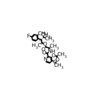 COc1ccnc(C(=O)N[C@@H](C)C(=O)O[C@@H](C)[C@H](c2ccc(F)cc2C)C(C)C)c1OC(C)=O